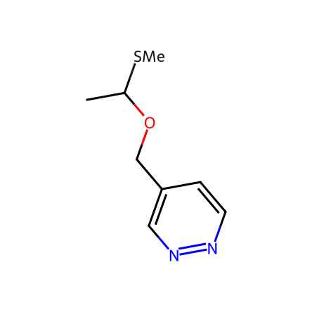 CSC(C)OCc1ccnnc1